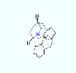 c1ccc2c(c1)C[C@H]1CC[C@@H](C2)N([C@@H]2CCCc3ccccc32)C1